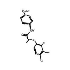 CC(=O)Oc1ccc(NC(=O)C(C)Oc2ccc(Cl)c(C)c2Cl)cc1